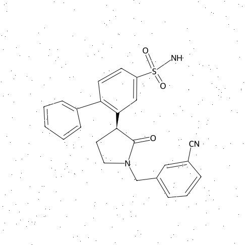 N#Cc1cccc(CN2CC[C@@H](c3cc(S([NH])(=O)=O)ccc3-c3ccccc3)C2=O)c1